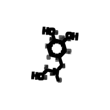 CN(CO)Cc1ccc(O)c(O)c1